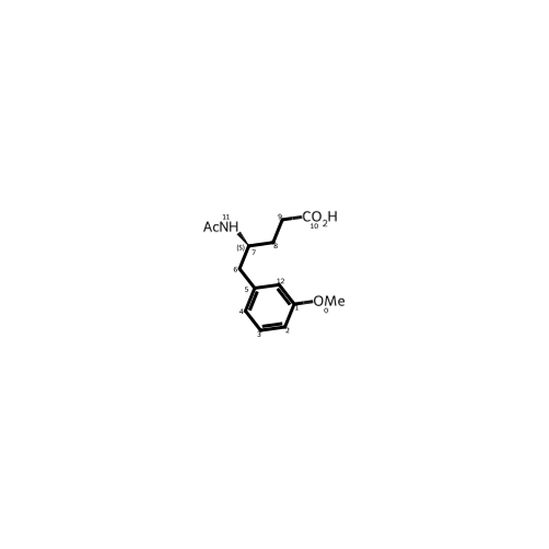 COc1cccc(C[C@H](CCC(=O)O)NC(C)=O)c1